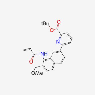 C=CC(=O)Nc1c(COC)ccc2ccc(-c3cccc(C(=O)OC(C)(C)C)n3)cc12